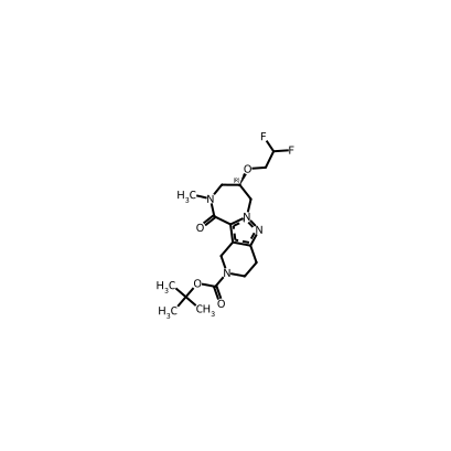 CN1C[C@@H](OCC(F)F)Cn2nc3c(c2C1=O)CN(C(=O)OC(C)(C)C)CC3